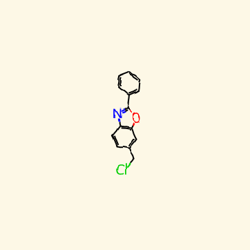 ClCc1ccc2nc(-c3ccccc3)oc2c1